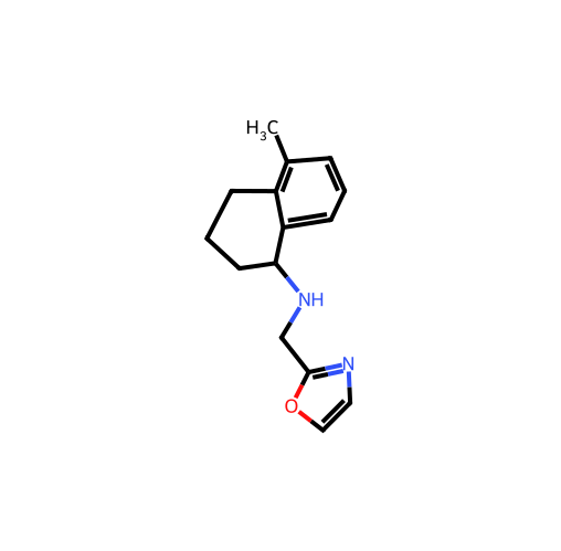 Cc1cccc2c1CCCC2NCc1ncco1